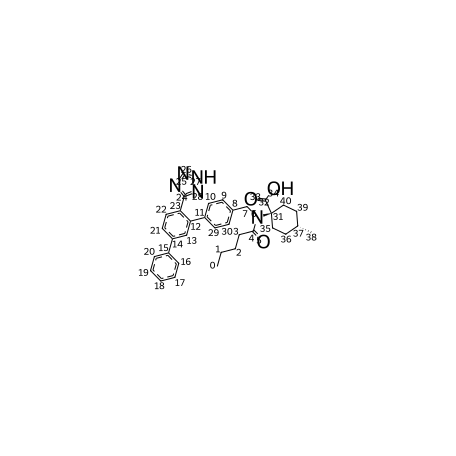 CCCCC(=O)N(Cc1ccc(-c2cc(-c3ccccc3)ccc2-c2nn[nH]n2)cc1)[C@]1(C(=O)O)CC[C@@H](C)CC1